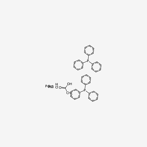 CC(=O)O.Cl.Cl.[Pd].[Pd].c1ccc(P(c2ccccc2)c2ccccc2)cc1.c1ccc(P(c2ccccc2)c2ccccc2)cc1